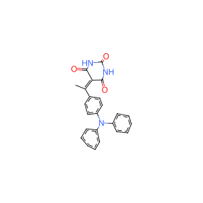 CC(=C1C(=O)NC(=O)NC1=O)c1ccc(N(c2ccccc2)c2ccccc2)cc1